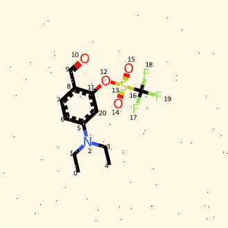 CCN(CC)c1ccc(C=O)c(OS(=O)(=O)C(F)(F)F)c1